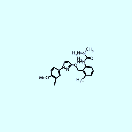 COc1ccc(-n2ccc(OCc3c(C)cccc3N(N)C(=O)N(C)N)n2)cc1F